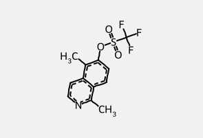 Cc1nccc2c(C)c(OS(=O)(=O)C(F)(F)F)ccc12